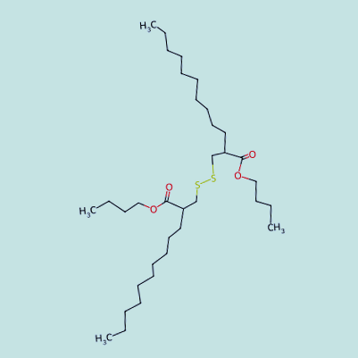 CCCCCCCCCCC(CSSCC(CCCCCCCCCC)C(=O)OCCCC)C(=O)OCCCC